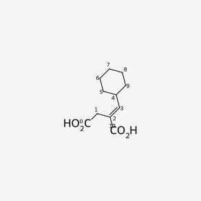 O=C(O)CC(=CC1CCCCC1)C(=O)O